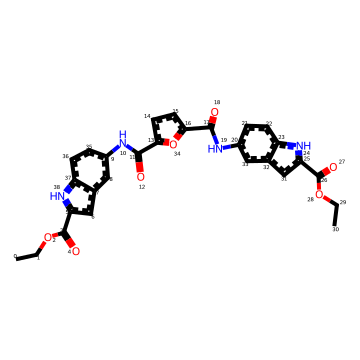 CCOC(=O)c1cc2cc(NC(=O)c3ccc(C(=O)Nc4ccc5[nH]c(C(=O)OCC)cc5c4)o3)ccc2[nH]1